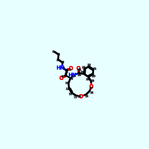 CCCCNC(=O)C(=O)[C@@H]1C/C=C\COCCOCc2ccccc2C(=O)N1